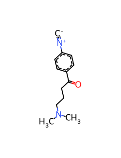 [C-]#[N+]c1ccc(C(=O)CCCN(C)C)cc1